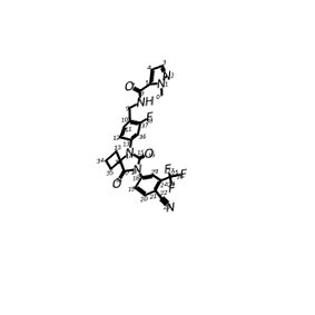 Cn1nccc1C(=O)NCc1ccc(N2C(=O)N(c3ccc(C#N)c(C(F)(F)F)c3)C(=O)C23CCC3)cc1F